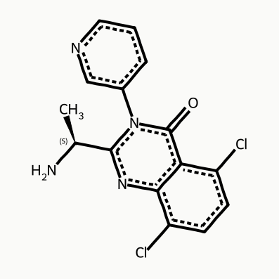 C[C@H](N)c1nc2c(Cl)ccc(Cl)c2c(=O)n1-c1cccnc1